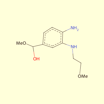 COCCNc1cc(C(O)OC)ccc1N